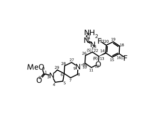 COC(=O)N1CCC2(CCN([C@H]3CO[C@H](c4cc(F)ccc4F)[C@@H](N=NN)C3)CC2)C1